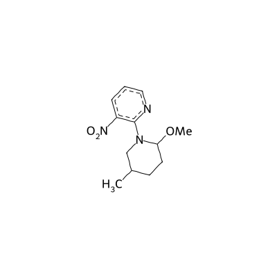 COC1CCC(C)CN1c1ncccc1[N+](=O)[O-]